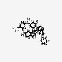 Cc1cnc(Nc2ccc(-c3cnn(CCN4CCOCC4)c3)c(F)c2)nc1Nc1ccc(Cl)c(NS(=O)(=O)C(C)(C)C)c1